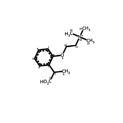 CC(C(=O)O)c1ccccc1OCC[N+](C)(C)C